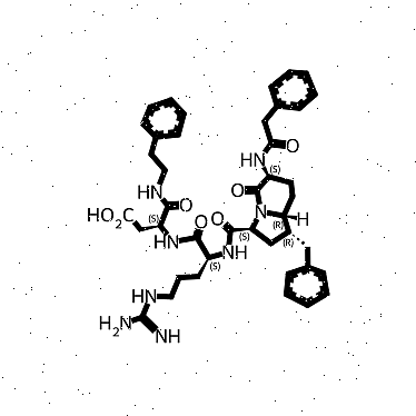 N=C(N)NCCC[C@H](NC(=O)[C@@H]1C[C@@H](Cc2ccccc2)[C@H]2CC[C@H](NC(=O)Cc3ccccc3)C(=O)N21)C(=O)N[C@@H](CC(=O)O)C(=O)NCCc1ccccc1